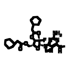 CNc1nc(N)nc2c1ncn2[C@@H]1O[C@H](COC(=O)CC2CCCCC2)[C@@H](OC(=O)CC2CCCCC2)[C@@]1(C)F